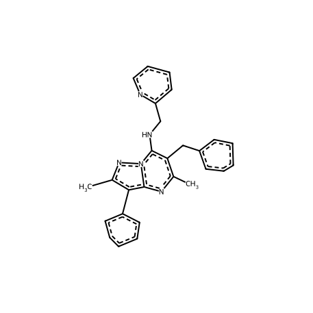 Cc1nc2c(-c3ccccc3)c(C)nn2c(NCc2ccccn2)c1Cc1ccccc1